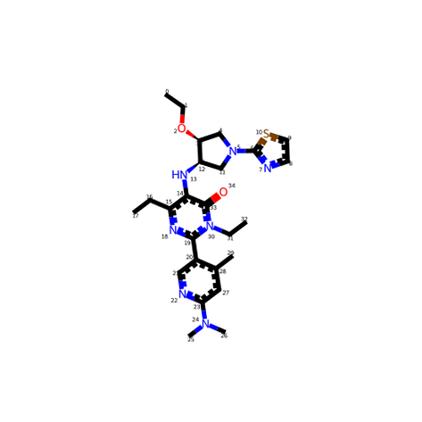 CCO[C@H]1CN(c2nccs2)C[C@H]1Nc1c(CC)nc(-c2cnc(N(C)C)cc2C)n(CC)c1=O